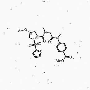 COC(=O)c1ccc(N(C)C(=O)CN(C)C(=O)[C@@H]2C[C@@H](SC(C)=O)CN2S(=O)(=O)c2cccs2)cc1